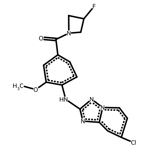 COc1cc(C(=O)N2CC(F)C2)ccc1Nc1nc2cc(Cl)ccn2n1